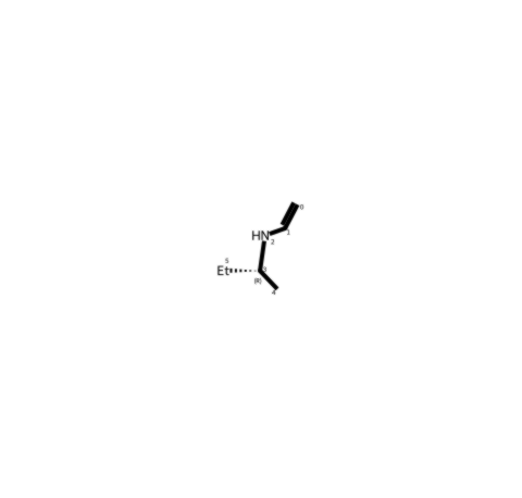 C=CN[C@H](C)CC